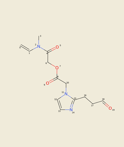 C=CN(C)C(=O)COC(=O)Cn1ccnc1CCC=O